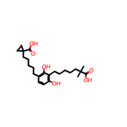 CC(C)(CCCCCc1c(O)ccc(CCCCCC2(C(=O)O)CC2)c1O)C(=O)O